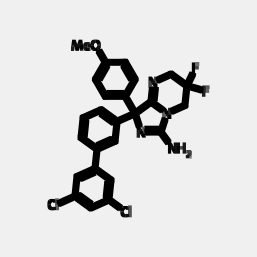 COc1ccc(C2(c3cccc(-c4cc(Cl)cc(Cl)c4)c3)N=C(N)N3CC(F)(F)CN=C32)cc1